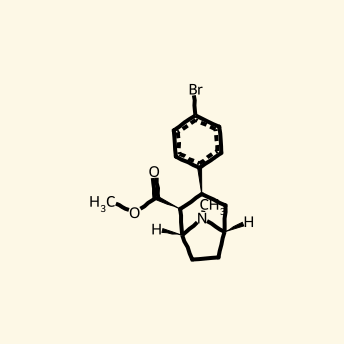 COC(=O)[C@H]1[C@@H](c2ccc(Br)cc2)C[C@@H]2CC[C@H]1N2C